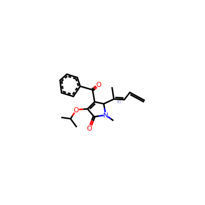 C=C/C=C(\C)C1C(C(=O)c2ccccc2)=C(OC(C)C)C(=O)N1C